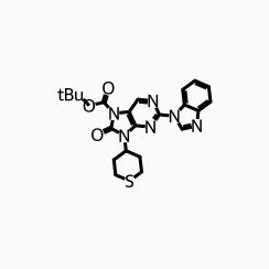 CC(C)(C)OC(=O)n1c(=O)n(C2CCSCC2)c2nc(-n3cnc4ccccc43)ncc21